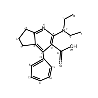 CCN(CC)c1nc2c(c(-c3ccccc3)c1C(=O)O)CCC2